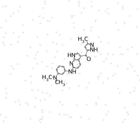 Cc1cc(C(=O)c2c[nH]c3nc(Nc4cccc(N(C)C)c4)ccc23)[nH]n1